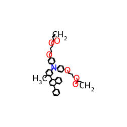 C=CC(=O)OCCCOc1ccc(N(c2ccc(OCCCOC(=O)C=C)cc2)c2ccc(C)c(-c3ccc(-c4ccccc4)c4ccccc34)c2)cc1